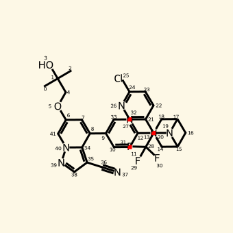 CC(C)(O)COc1cc(-c2ccc(N3CC4CC(C3)N4C(c3ccc(Cl)nc3)C(F)(F)F)nc2)c2c(C#N)cnn2c1